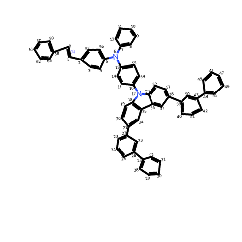 C(=C\c1ccc(N(c2ccccc2)c2ccc(-n3c4ccc(-c5cccc(-c6ccccc6)c5)cc4c4cc(-c5cccc(-c6ccccc6)c5)ccc43)cc2)cc1)/c1ccccc1